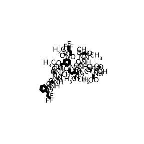 CC(C)OC(=O)c1cc(-n2c(=O)cc(C(F)(F)F)n(C)c2=O)ccc1Cl.COc1cc(OC)nc(NC(=O)NS(=O)(=O)c2ncccc2C(=O)N(C)C)n1.COc1nc(C)nc(NC(=O)NS(=O)(=O)c2ccccc2CCC(F)(F)F)n1.C[S+](C)C.O=C(O)CNCP(=O)([O-])O